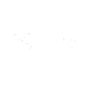 C=C(C)C(=O)OCCCCCCOC(=O)NC[Si](OC)(OC)OC